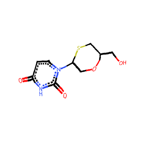 O=c1ccn(C2COC(CO)CS2)c(=O)[nH]1